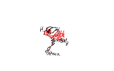 C=C(C)C(=O)OCCCc1cc(-c2ccc(-c3ccc(C4CCC(CCCCCC)CC4)cc3)cc2CC)cc(CCCOC(=O)C(=C)C)c1OCCC(CO)CO